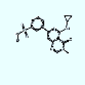 CCNS(=O)(=O)c1cccc(-c2cc3ncn(C)c(=O)c3c(NC3CC3)n2)c1